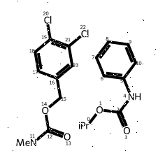 CC(C)OC(=O)Nc1ccccc1.CNC(=O)OCc1ccc(Cl)c(Cl)c1